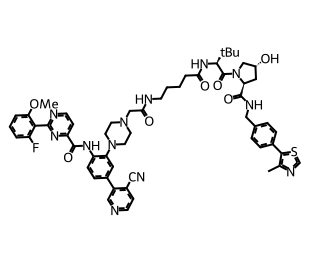 COc1cccc(F)c1-c1nccc(C(=O)Nc2ccc(-c3cnccc3C#N)cc2N2CCN(CC(=O)NCCCCC(=O)N[C@H](C(=O)N3C[C@H](O)C[C@H]3C(=O)NCc3ccc(-c4scnc4C)cc3)C(C)(C)C)CC2)n1